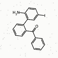 Nc1ccc(I)cc1-c1ccccc1C(=O)c1ccccc1